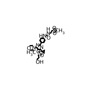 C[C@H]1COCCN1c1cc(C2(S(=O)(=O)CCCO)CC2)nc(-c2ccc(NC(=O)NCCS(C)(=O)=O)cc2)n1